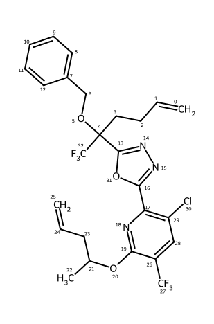 C=CCCC(OCc1ccccc1)(c1nnc(-c2nc(OC(C)CC=C)c(C(F)(F)F)cc2Cl)o1)C(F)(F)F